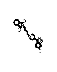 O=C1C2CCCCC2C(=O)N1CCCCN1CCC(c2noc3cc(Cl)ccc23)CC1